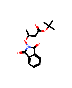 CC(CC(=O)OC(C)(C)C)ON1C(=O)c2ccccc2C1=O